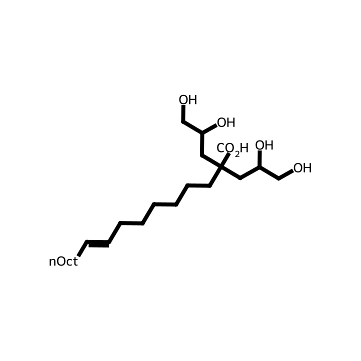 CCCCCCCCC=CCCCCCCC(CC(O)CO)(CC(O)CO)C(=O)O